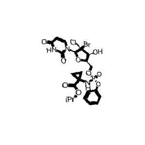 CC(C)OC(=O)C1(NP(=O)(OC[C@H]2O[C@@H](n3ccc(=O)[nH]c3=O)[C@](Cl)(Br)[C@@H]2O)Oc2ccccc2)CC1